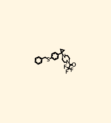 O=C(N1CCN(C2(c3ccc(SCc4ccccc4)cc3)CC2)CC1)C(F)(F)F